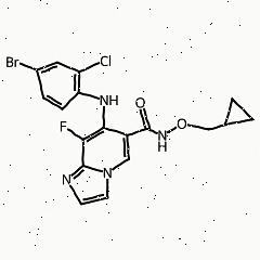 O=C(NOCC1CC1)c1cn2ccnc2c(F)c1Nc1ccc(Br)cc1Cl